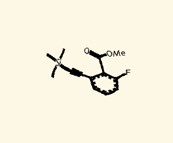 COC(=O)c1c(F)cccc1C#C[Si](C)(C)C